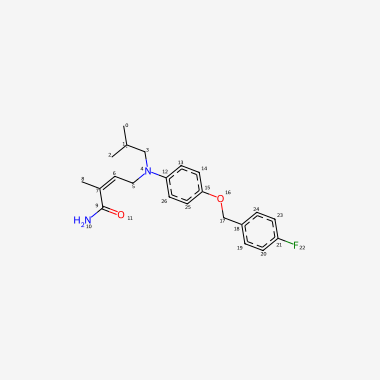 C[C](C)CN(CC=C(C)C(N)=O)c1ccc(OCc2ccc(F)cc2)cc1